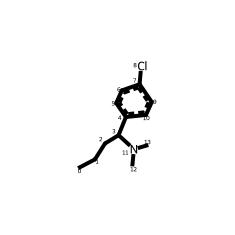 CCCC(c1ccc(Cl)cc1)N(C)C